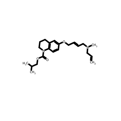 C=CCN(C)CC=CCOc1ccc2c(c1)CCCN2C(=O)OCC(C)C